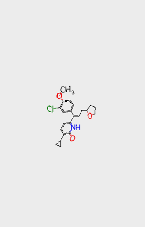 COc1ccc(/C(=C\CC2CCCO2)c2ccc(C3CC3)c(=O)[nH]2)cc1Cl